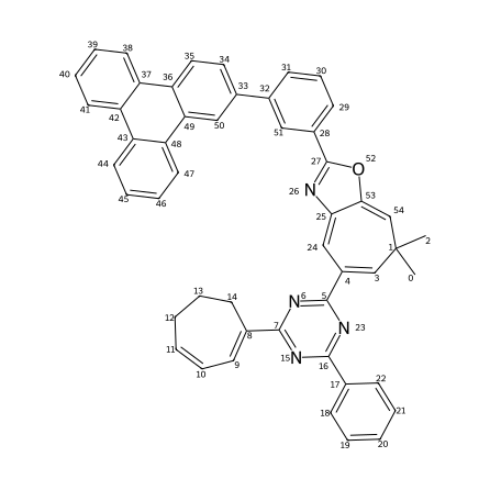 CC1(C)C=C(c2nc(C3=CC=CCCC3)nc(-c3ccccc3)n2)C=c2nc(-c3cccc(-c4ccc5c6ccccc6c6ccccc6c5c4)c3)oc2=C1